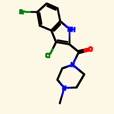 CN1CCN(C(=O)c2[nH]c3ccc(Br)cc3c2Cl)CC1